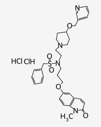 Cl.Cl.Cn1c(=O)ccc2cc(OCCCN(CCN3CCC(OCc4cccnc4)CC3)S(=O)(=O)Cc3ccccc3)ccc21